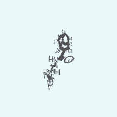 O=C(NCCNSC(F)(F)F)C1CC2CC3CCC1C(C3)C2